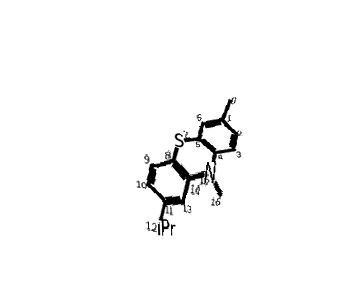 Cc1ccc2c(c1)Sc1ccc(C(C)C)cc1N2C